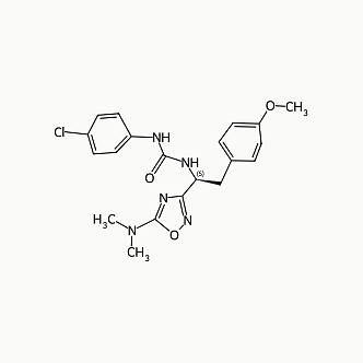 COc1ccc(C[C@H](NC(=O)Nc2ccc(Cl)cc2)c2noc(N(C)C)n2)cc1